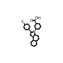 O=C(O)c1cccc(-n2c(-c3ccc(F)cc3)cc3c4ccccc4ccc32)c1